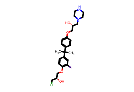 CC(C)(c1ccc(OC[C@H](O)CN2CCNCC2)cc1)c1ccc(OC[C@@H](O)CCl)c(I)c1